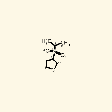 CC(C)S(=O)(=O)C1CCOC1